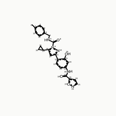 Cc1ccc(CNC(=O)n2nc(-c3ccc(NC(=O)c4ccno4)cc3O)cc2C2CC2)cc1